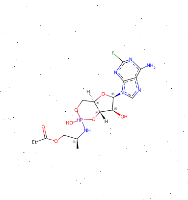 CCC(=O)OC[C@H](C)N[PH]1(O)OC[C@H]2O[C@@H](n3cnc4c(N)nc(F)nc43)[C@@H](O)[C@@H]2O1